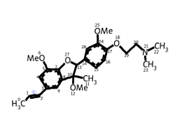 C/C=C/c1cc(OC)c2c(c1)C(C)(OC)C(c1ccc(OCCN(C)C)c(OC)c1)O2